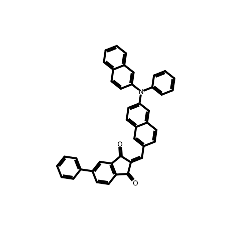 O=C1C(=Cc2ccc3cc(N(c4ccccc4)c4ccc5ccccc5c4)ccc3c2)C(=O)c2cc(-c3ccccc3)ccc21